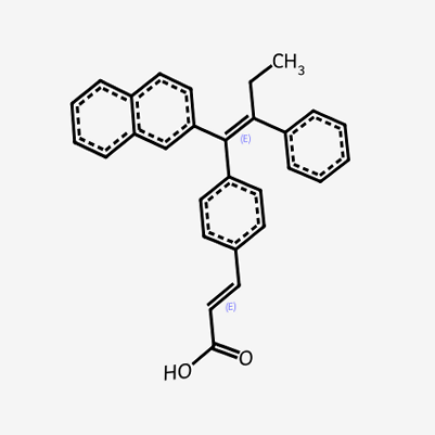 CC/C(=C(/c1ccc(/C=C/C(=O)O)cc1)c1ccc2ccccc2c1)c1ccccc1